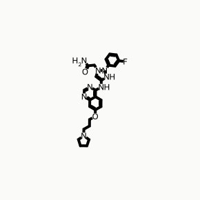 NC(=O)CN1C=C(Nc2ncnc3cc(OCCCN4CCCC4)ccc23)NN1c1cccc(F)c1